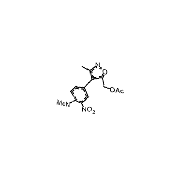 CNc1ccc(-c2c(C)noc2COC(C)=O)cc1[N+](=O)[O-]